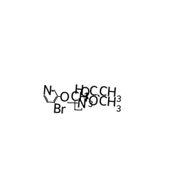 CC(C)(C)OC(=O)N1CCC1(C)COc1cnccc1Br